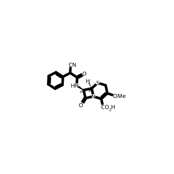 COC1=C(C(=O)O)N2C(=O)[C@@H](NC(=O)C(C#N)c3ccccc3)[C@H]2SC1